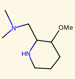 COC1CCCNC1CN(C)C